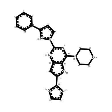 c1ccc(-c2ccn(-c3nc(N4CCOCC4)c4oc(-c5nccs5)cc4n3)n2)cc1